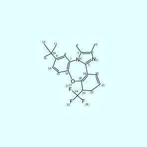 Cc1nc2n(c1C)-c1cc(C(C)(C)C)ccc1OC1=C2C=CCC1C(F)(F)F